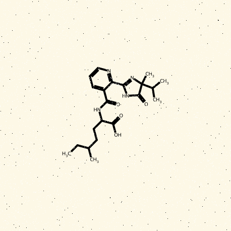 CCC(C)CCC(NC(=O)c1cccnc1C1=NC(C)(C(C)C)C(=O)N1)C(=O)O